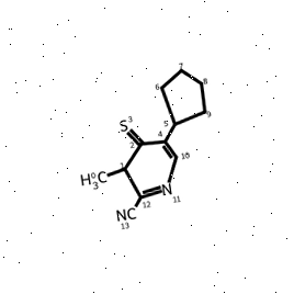 CC1C(=S)C(C2CCCC2)=CN=C1C#N